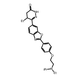 CCC1CC(=O)NN=C1c1ccc2nc(-c3ccc(OCCN(CC)C(C)C)cc3)oc2c1